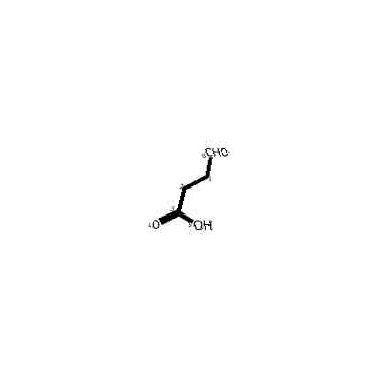 O=[C]CCC(=O)O